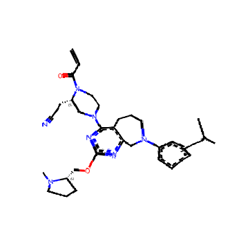 C=CC(=O)N1CCN(c2nc(OC[C@@H]3CCCN3C)nc3c2CCCN(c2cccc(C(C)C)c2)C3)C[C@@H]1CC#N